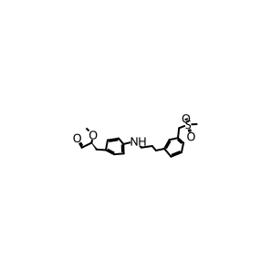 CO[C@H](C=O)Cc1ccc(NCCCc2cccc(CS(C)(=O)=O)c2)cc1